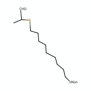 CCCCCCCCCCCCCCCCCCSC(C)C=O